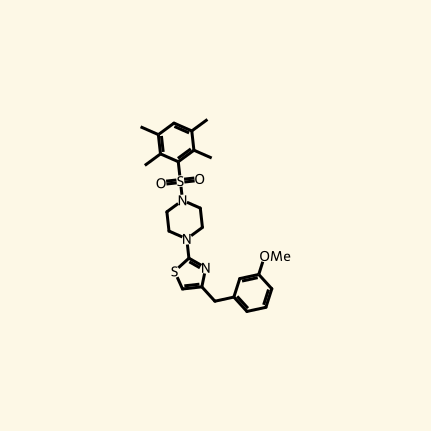 COc1cccc(Cc2csc(N3CCN(S(=O)(=O)c4c(C)c(C)cc(C)c4C)CC3)n2)c1